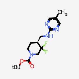 Cc1cnc(NC[C@@H]2CCN(C(=O)OC(C)(C)C)CC2(F)F)nc1